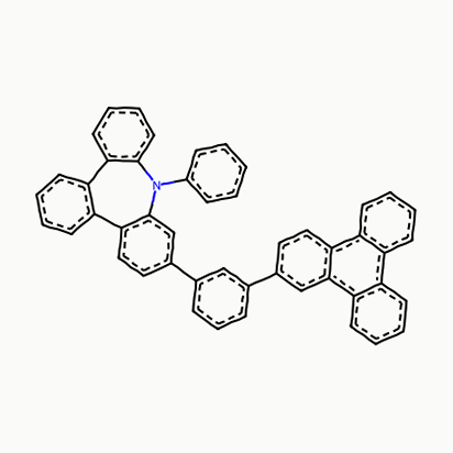 c1ccc(N2c3ccccc3-c3ccccc3-c3ccc(-c4cccc(-c5ccc6c7ccccc7c7ccccc7c6c5)c4)cc32)cc1